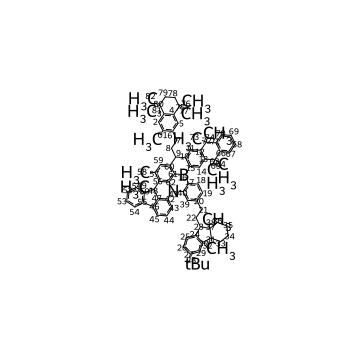 Cc1cc2c(cc1CCC1c3cc4c(cc3B3c5ccc(CCC6c7ccc(C(C)(C)C)cc7C7(C)CCCCC67C)cc5N5c6cccc7c6C(C)(c6ccccc6-7)c6c(C)cc1c3c65)C(C)(C)c1ccccc1C4(C)C)C(C)(C)CCC2(C)C